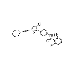 O=C(Nc1ccc(-c2sc(C#CC3CCCCC3)cc2Cl)cc1)c1c(F)cccc1F